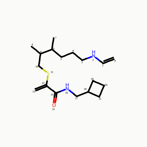 C=CNCCCC(C)C(C)CSC(=C)C(=O)NCC1CCC1